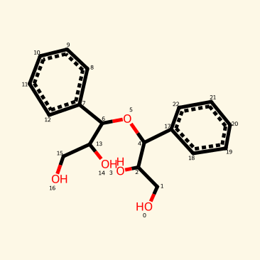 OCC(O)C(OC(c1ccccc1)C(O)CO)c1ccccc1